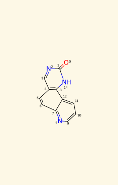 O=c1ncc2ccc3ncccc3c2[nH]1